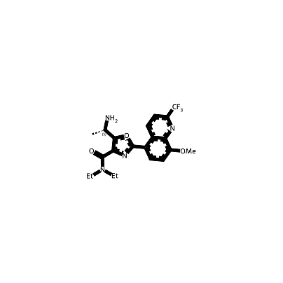 CCN(CC)C(=O)c1nc(-c2ccc(OC)c3nc(C(F)(F)F)ccc23)oc1[C@H](C)N